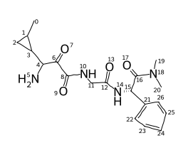 CC1CC1C(N)C(=O)C(=O)NCC(=O)N[C@H](C(=O)N(C)C)c1ccccc1